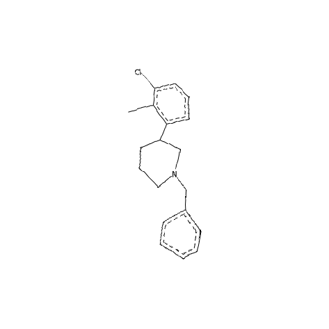 Cc1c(Cl)cccc1C1CCCN(Cc2ccccc2)C1